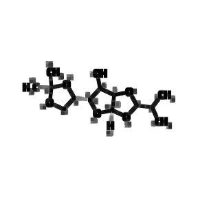 CC(C)C1OC2C(O)[C@@H](C3COC(C)(C)O3)O[C@@H]2O1